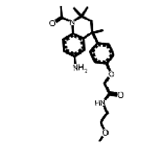 COCCNC(=O)COc1ccc(C2(C)CC(C)(C)N(C(C)=O)c3ccc(N)cc32)cc1